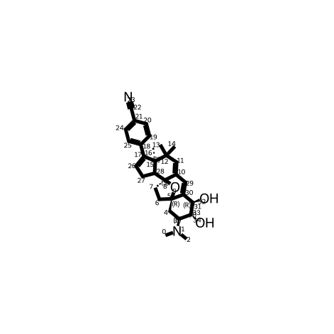 CN(C)[C@H]1C[C@@]23CC[C@@]4(O2)C(=CC(C)(C)[C@]2(C)C(c5ccc(C#N)cc5)=CCC42)C=C3[C@@H](O)[C@@H]1O